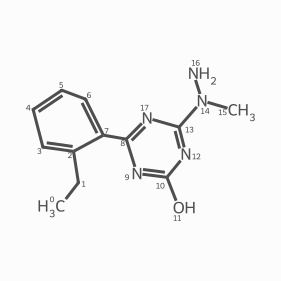 CCc1ccccc1-c1nc(O)nc(N(C)N)n1